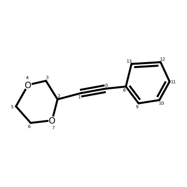 C(#CC1COCCO1)c1ccccc1